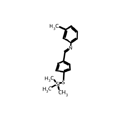 Cc1cccc(N=Cc2ccc(S[Si](C)(C)C)cc2)c1